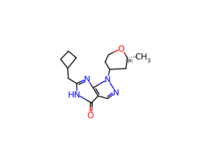 C[C@@H]1CC(n2ncc3c(=O)[nH]c(CC4CCC4)nc32)CCO1